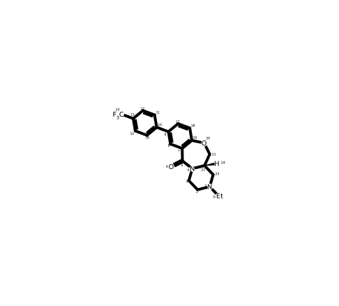 CCN1CCN2C(=O)c3cc(-c4ccc(C(F)(F)F)cc4)ccc3OC[C@@H]2C1